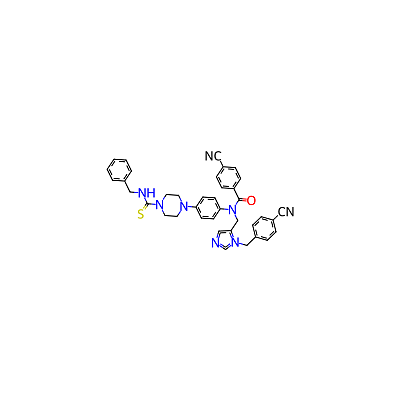 N#Cc1ccc(Cn2cncc2CN(C(=O)c2ccc(C#N)cc2)c2ccc(N3CCN(C(=S)NCc4ccccc4)CC3)cc2)cc1